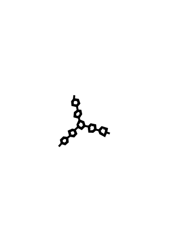 Cc1ccc(-c2ccc(-c3cc(-c4ccc(-c5ccc(C)cc5)cc4)cc(-c4ccc(-c5ccc(C)cc5)cc4)c3)cc2)cc1